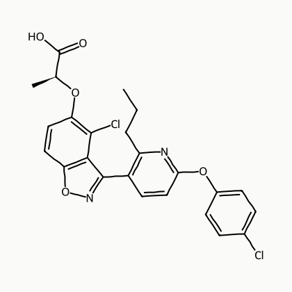 CCCc1nc(Oc2ccc(Cl)cc2)ccc1-c1noc2ccc(O[C@@H](C)C(=O)O)c(Cl)c12